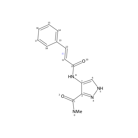 CNC(=O)c1n[nH]cc1NC(=O)/C=C/c1ccccc1